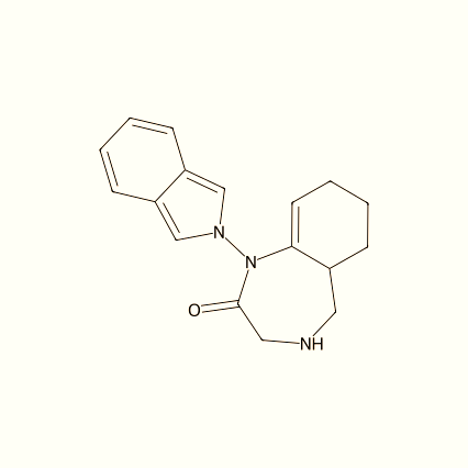 O=C1CNCC2CCCC=C2N1n1cc2ccccc2c1